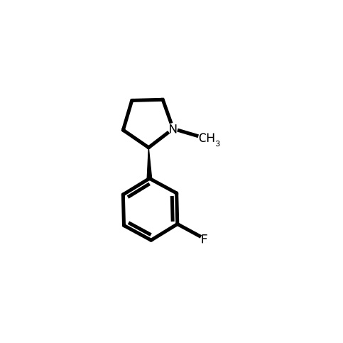 CN1CCC[C@@H]1c1cccc(F)c1